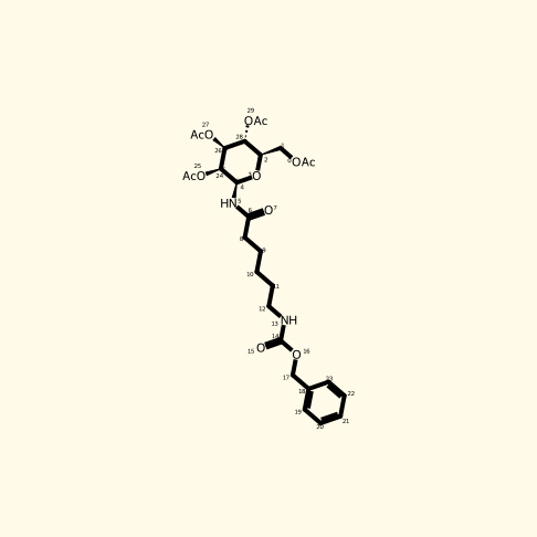 CC(=O)OC[C@H]1O[C@@H](NC(=O)CCCCCNC(=O)OCc2ccccc2)[C@@H](OC(C)=O)[C@@H](OC(C)=O)[C@@H]1OC(C)=O